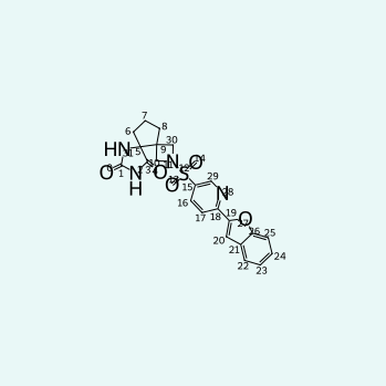 O=C1NC(=O)C2(CCCC23CN(S(=O)(=O)c2ccc(-c4cc5ccccc5o4)nc2)C3)N1